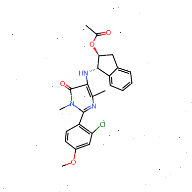 COc1ccc(-c2nc(C)c(N[C@H]3c4ccccc4C[C@@H]3OC(C)=O)c(=O)n2C)c(Cl)c1